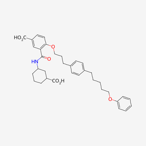 O=C(O)c1ccc(OCCCc2ccc(CCCCCOc3ccccc3)cc2)c(C(=O)NC2CCCC(C(=O)O)C2)c1